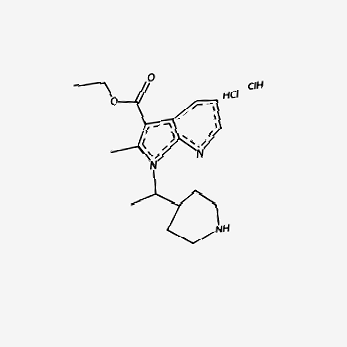 CCOC(=O)c1c(C)n(C(C)C2CCNCC2)c2ncccc12.Cl.Cl